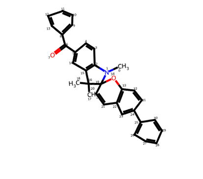 CN1c2ccc(C(=O)c3ccccc3)cc2C(C)(C)C12C=Cc1cc(-c3ccccc3)ccc1O2